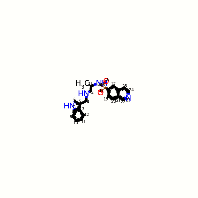 C[C@H](CNCc1c[nH]c2ccccc12)NS(=O)(=O)c1ccc2cnccc2c1